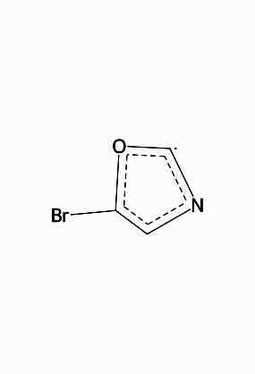 Brc1cn[c]o1